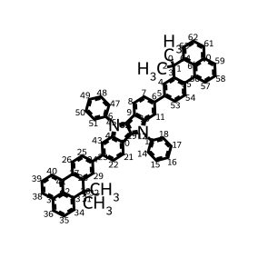 CC1(C)c2cc(-c3ccc4c(c3)n(-c3ccccc3)c3c5ccc(-c6ccc7c(c6)C(C)(C)c6cccc8cccc-7c68)cc5n(-c5ccccc5)c43)ccc2-c2cccc3cccc1c23